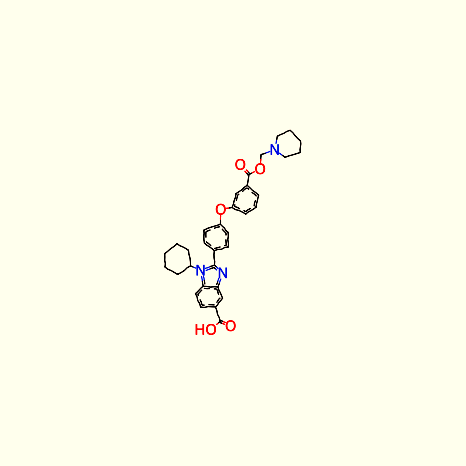 O=C(O)c1ccc2c(c1)nc(-c1ccc(Oc3cccc(C(=O)OCN4CCCCC4)c3)cc1)n2C1CCCCC1